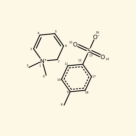 C[N+]1(C)C=CC=CC1.Cc1ccc(S(=O)(=O)[O-])cc1